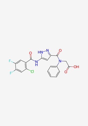 O=C(O)CN(C(=O)c1cc(NC(=O)c2cc(F)c(F)cc2Cl)[nH]n1)c1ccccc1